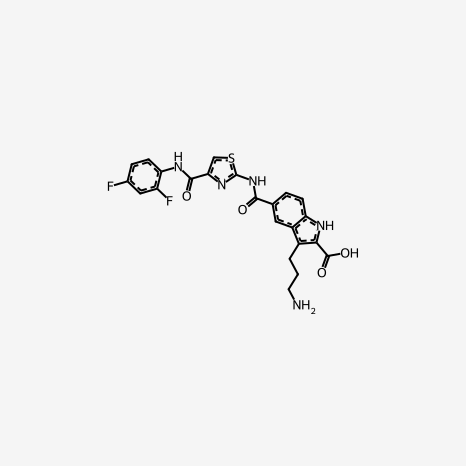 NCCCc1c(C(=O)O)[nH]c2ccc(C(=O)Nc3nc(C(=O)Nc4ccc(F)cc4F)cs3)cc12